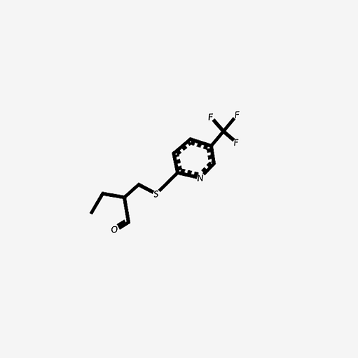 CCC(C=O)CSc1ccc(C(F)(F)F)cn1